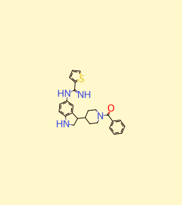 N=C(Nc1ccc2c(c1)C(C1CCN(C(=O)c3ccccc3)CC1)CN2)c1cccs1